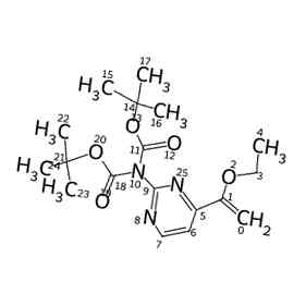 C=C(OCC)c1ccnc(N(C(=O)OC(C)(C)C)C(=O)OC(C)(C)C)n1